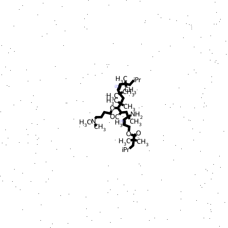 CC(C)CC(C)(C)/C=C\C(C)(C)CC(C)(C)C(OC(=O)CCCN(C)C)C(C)CC(C)(N)/C=C\COC(=O)C(C)(C)CC(C)C